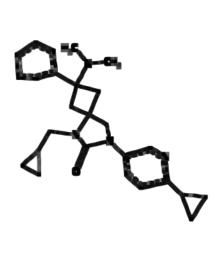 CN(C)C1(c2ccccc2)CC2(CN(c3ccc(C4CC4)nc3)C(=O)N2CC2CC2)C1